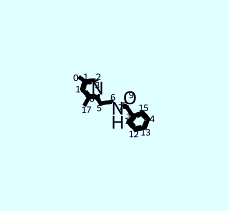 Cc1cnc(CCNC(=O)c2ccccc2)c(C)c1